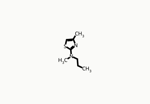 CCCN(C)c1nc(C)cs1